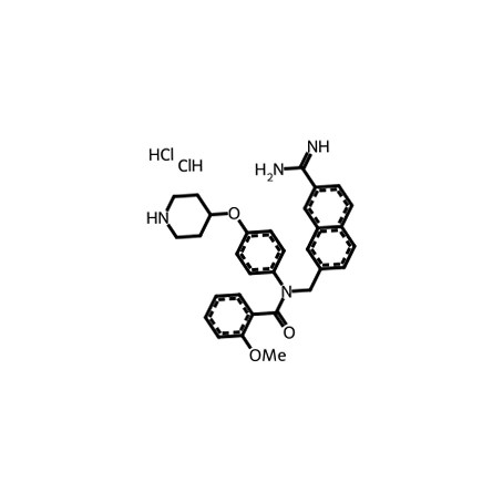 COc1ccccc1C(=O)N(Cc1ccc2ccc(C(=N)N)cc2c1)c1ccc(OC2CCNCC2)cc1.Cl.Cl